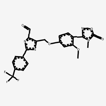 COc1cc(OCc2sc(-c3ccc(C(F)(F)F)cc3)nc2C=O)ccc1-c1noc(=O)n1C